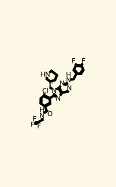 O=C(NCC(F)(F)F)c1ccc(Cl)c(-c2nc3cnc(NCc4ccc(F)c(F)c4)nc3n2C[C@@H]2CCCNC2)c1